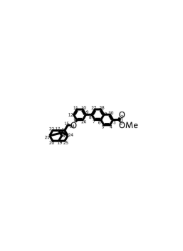 COC(=O)c1ccc2cc(-c3cccc(OCC4C5CC6CC(C5)CC4C6)c3)ccc2c1